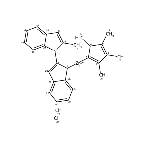 CC1=C(C)C(C)[C]([Zr+2][CH]2C(n3c(C)cc4ccccc43)=Cc3ccccc32)=C1C.[Cl-].[Cl-]